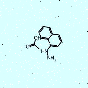 CC(=O)O.NNc1cccc2ccccc12